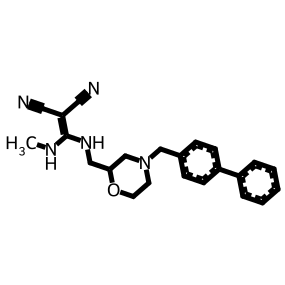 CNC(NCC1CN(Cc2ccc(-c3ccccc3)cc2)CCO1)=C(C#N)C#N